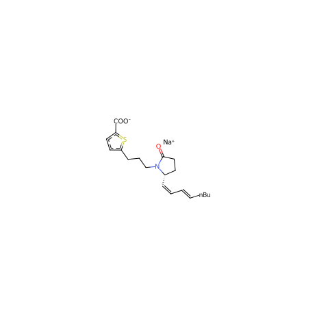 CCCC/C=C/C=C\[C@H]1CCC(=O)N1CCCc1ccc(C(=O)[O-])s1.[Na+]